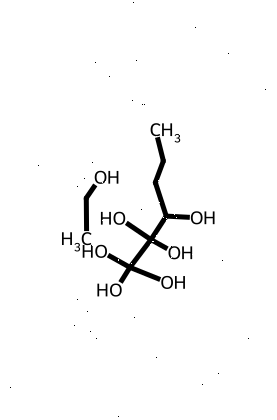 CCCC(O)C(O)(O)C(O)(O)O.CCO